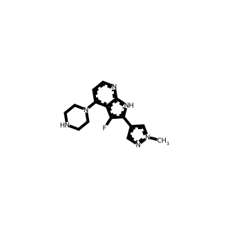 Cn1cc(-c2[nH]c3nccc(N4CCNCC4)c3c2F)cn1